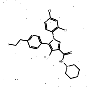 Cc1c(C(=O)NN2CCCCC2)nn(-c2ccc(Cl)cc2Cl)c1-c1ccc(CCI)cc1